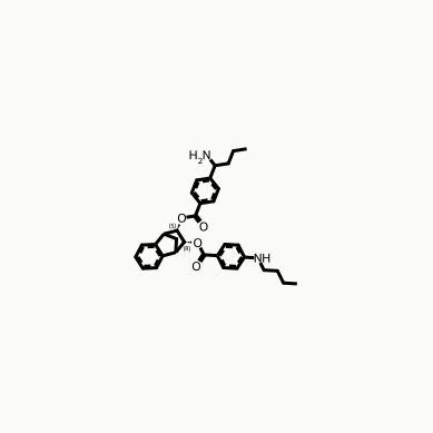 CCCCNc1ccc(C(=O)O[C@@H]2C3CC(c4ccccc43)[C@@H]2OC(=O)c2ccc(C(N)CCC)cc2)cc1